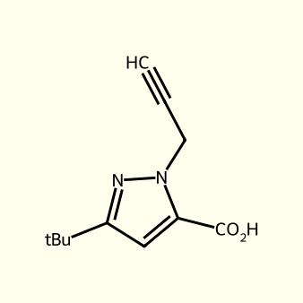 C#CCn1nc(C(C)(C)C)cc1C(=O)O